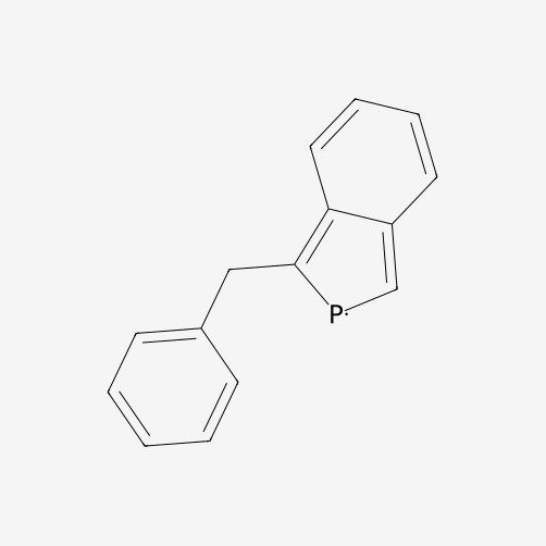 C1=c2ccccc2=C(Cc2ccccc2)[P]1